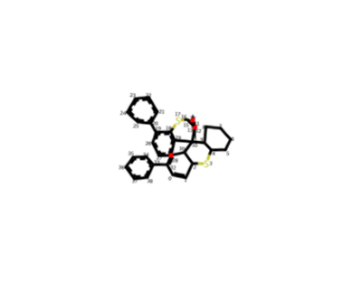 C1=CC2SC3CCCCC3C3(C4=CCCCC4Sc4c(-c5ccccc5)cccc43)C2C=C1c1ccccc1